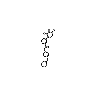 O=C1CCN(c2cccc(NCc3ccc(CN4CCCCC4)cc3)c2)C(=O)N1